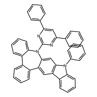 c1ccc(-c2cc(-c3ccccc3)nc(N3c4ccccc4-c4ccccc4-c4cc5c6ccccc6n(-c6ccccc6)c5cc43)n2)cc1